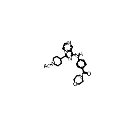 CC(=O)N1CCC(c2nc(Nc3ccc(C(=O)N4CCOCC4)cc3)c3cnccn23)CC1